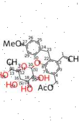 C=Cc1cc(COC(C)=O)cc(O[C@@H]2O[C@H]([C@@H](C)O)[C@@H](O)[C@H](O)[C@H]2O)c1Cc1ccc(OC)cc1